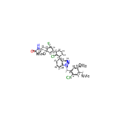 CNCc1cc(Cl)c(Cn2ncc3c(-c4cccc(-c5cc(F)c(CC6CCC(=O)N6)c(OC)c5)c4Cl)cccc32)cc1OC